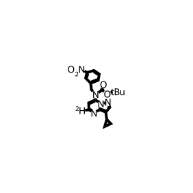 [2H]c1cc(N(Cc2cccc([N+](=O)[O-])c2)C(=O)OC(C)(C)C)n2ncc(C3CC3)c2n1